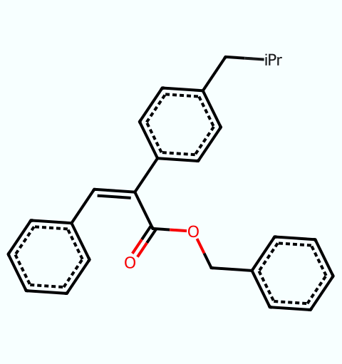 CC(C)Cc1ccc(C(=Cc2ccccc2)C(=O)OCc2ccccc2)cc1